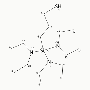 CCN(CC)[Si](CCCS)(N(CC)CC)N(CC)CC